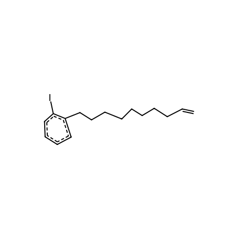 C=CCCCCCCCCc1ccccc1I